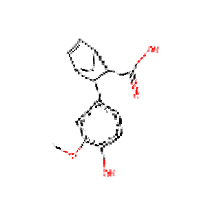 COc1cc(C2C3C=CC(C3)C2C(=O)O)ccc1O